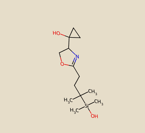 CC(C)(CCC1=NC(C2(O)CC2)CO1)[Si](C)(C)O